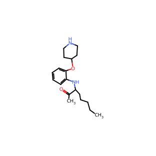 CCCCCC(Nc1ccccc1OC1CCNCC1)C(C)=O